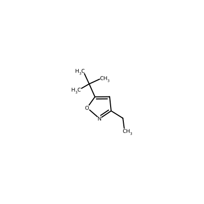 CCc1cc(C(C)(C)C)on1